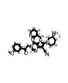 COc1cccc(C(=O)Cn2cnc3c(C#N)c(N4CCCC(N)C4)n(Cc4cccnc4)c3c2=O)c1